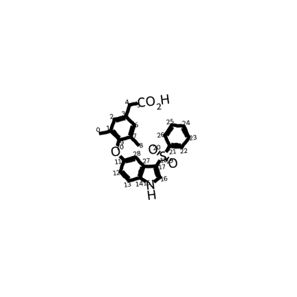 Cc1cc(CC(=O)O)cc(C)c1Oc1ccc2[nH]cc(S(=O)(=O)c3ccccc3)c2c1